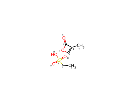 CC1=COC1=O.CCS(=O)(=O)O